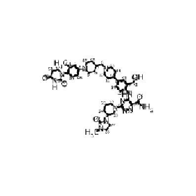 Cc1cc(N2CCC(CN3CCC(c4ccc(Nc5nc(N6CCCC(N7CCN(C)C7=O)C6)nnc5C(N)=O)c(CO)c4)CC3)CC2)ccc1N1CCC(=O)NC1=O